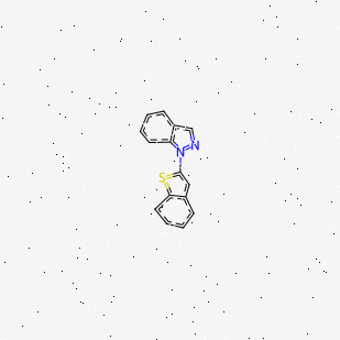 c1ccc2sc(-n3ncc4ccccc43)cc2c1